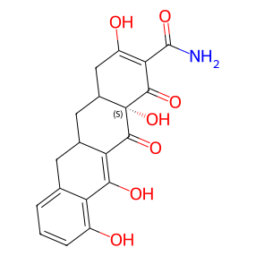 NC(=O)C1=C(O)CC2CC3Cc4cccc(O)c4C(O)=C3C(=O)[C@]2(O)C1=O